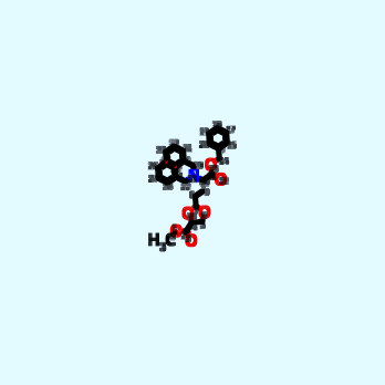 COC(=O)C1COC(CC[C@@H](C(=O)OCc2ccccc2)N(Cc2ccccc2)Cc2ccccc2)O1